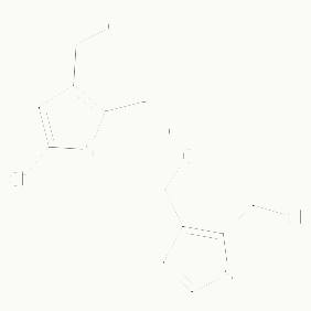 ClCc1cc(Cl)sc1CCl.ClCc1ccsc1CCl